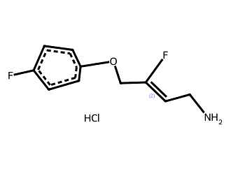 Cl.NC/C=C(\F)COc1ccc(F)cc1